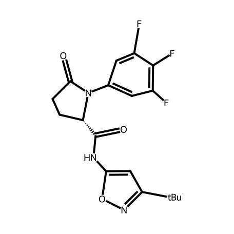 CC(C)(C)c1cc(NC(=O)[C@@H]2CCC(=O)N2c2cc(F)c(F)c(F)c2)on1